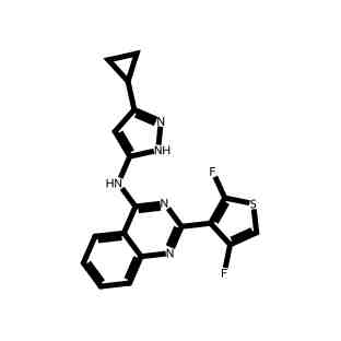 Fc1csc(F)c1-c1nc(Nc2cc(C3CC3)n[nH]2)c2ccccc2n1